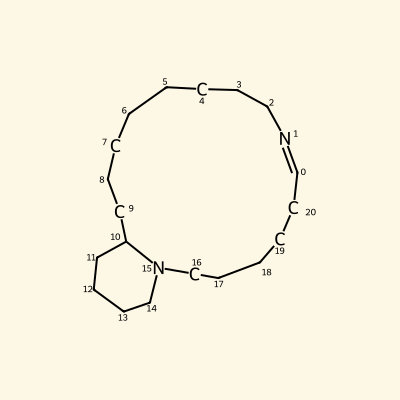 C1=NCCCCCCCCC2CCCCN2CCCCC1